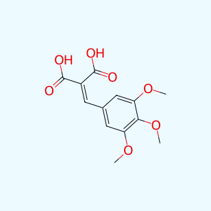 COc1cc(C=C(C(=O)O)C(=O)O)cc(OC)c1OC